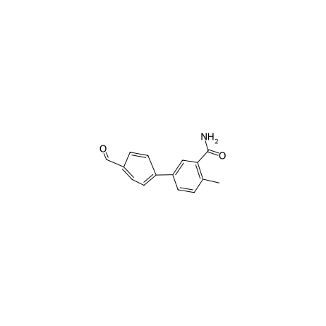 Cc1ccc(-c2ccc(C=O)cc2)cc1C(N)=O